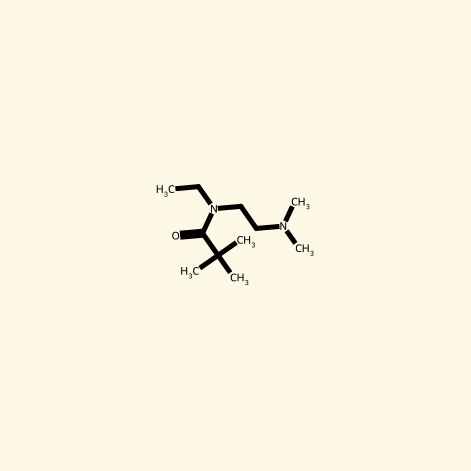 CCN(CCN(C)C)C(=O)C(C)(C)C